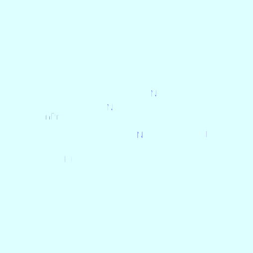 CCCC(CC)c1cn2cc(I)cnc2n1